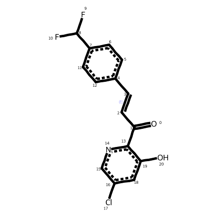 O=C(/C=C/c1ccc(C(F)F)cc1)c1ncc(Cl)cc1O